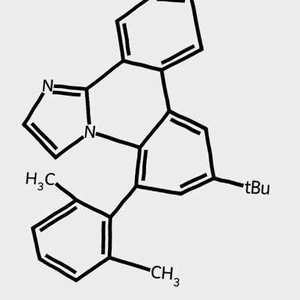 Cc1cccc(C)c1-c1cc(C(C)(C)C)cc2c3ccccc3c3nccn3c12